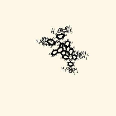 C[Si](C)(C)c1ccc(N(c2ccc([Si](C)(C)C)cc2)c2ccc3c(c2)C2(c4ccccc4-c4ccccc42)c2c-3c3ccccc3c3cc(N(c4ccc([Si](C)(C)C)cc4)c4ccc([Si](C)(C)C)cc4)ccc23)cc1